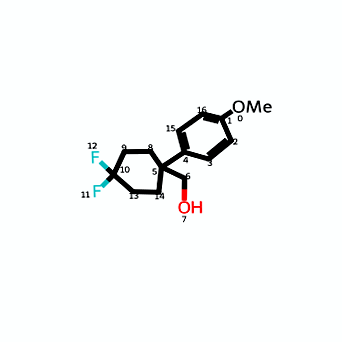 COc1ccc(C2(CO)CCC(F)(F)CC2)cc1